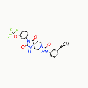 C#Cc1cccc(NC(=O)N2CCC3(CC2)NC(=O)N(c2cccc(OC(F)(F)F)c2)C3=O)c1